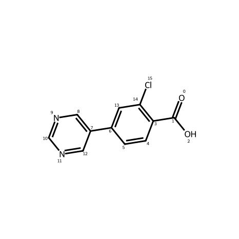 O=C(O)c1ccc(-c2cncnc2)cc1Cl